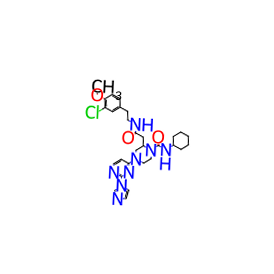 COc1ccc(CCNC(=O)CC2CN(c3ccnc(-n4ccnc4)n3)CCN2C(=O)NC2CCCCC2)cc1Cl